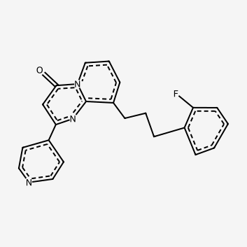 O=c1cc(-c2ccncc2)nc2c(CCCc3ccccc3F)cccn12